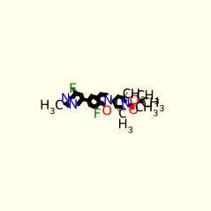 Cc1cn2cc(-c3cc(F)c4c(=O)n([C@@H]5C[C@@H](C)N(C(=O)OC(C)(C)C)[C@@H](C)C5)ccc4c3)cc(F)c2n1